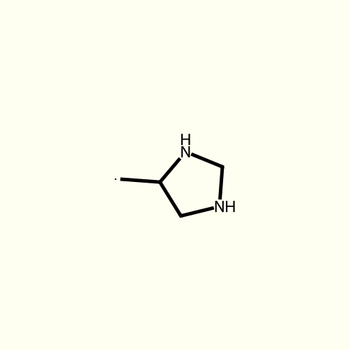 [CH2]C1CNCN1